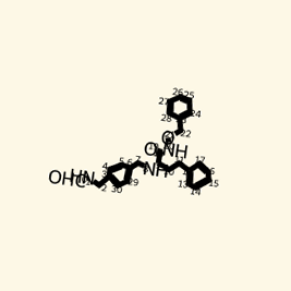 O=CNCc1ccc(CNC(CCc2ccccc2)C(=O)NOCc2ccccc2)cc1